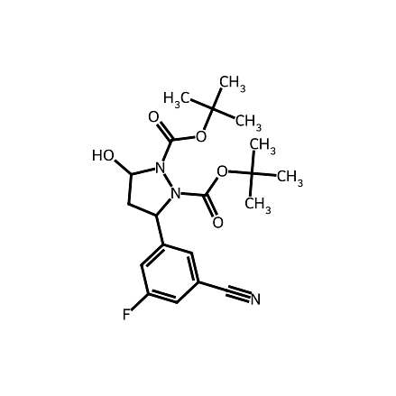 CC(C)(C)OC(=O)N1C(O)CC(c2cc(F)cc(C#N)c2)N1C(=O)OC(C)(C)C